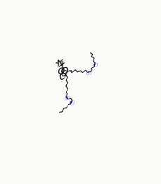 CCCCC/C=C\C/C=C\CCCCCCCC1OC(C)(OCC(C)(C)N(C)C)OC1CCCCCCC/C=C\C/C=C\CCCCC